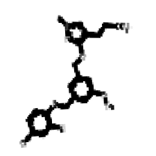 CC(C)Oc1cc(COc2ccc(Cl)cc2Cl)cc(COc2nn(C)cc2CCC(=O)O)c1